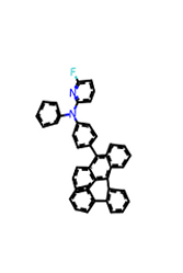 Fc1cccc(N(c2ccccc2)c2ccc(-c3c4ccccc4c(-c4ccccc4-c4ccccc4)c4ccccc34)cc2)n1